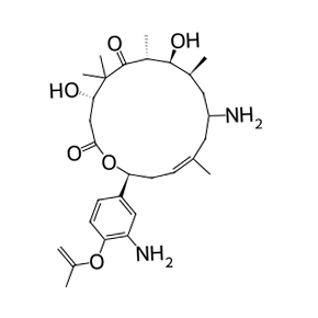 C=C(C)Oc1ccc([C@@H]2C/C=C(/C)CC(N)C[C@H](C)[C@H](O)[C@@H](C)C(=O)C(C)(C)[C@@H](O)CC(=O)O2)cc1N